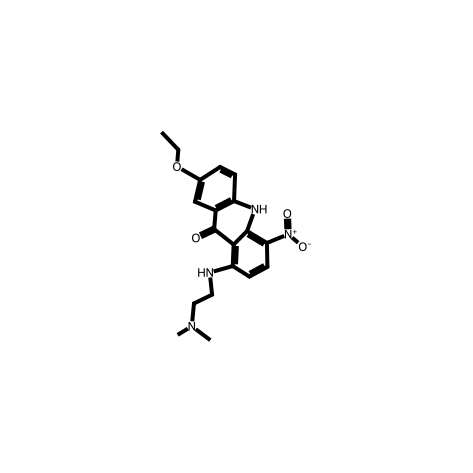 CCOc1ccc2[nH]c3c([N+](=O)[O-])ccc(NCCN(C)C)c3c(=O)c2c1